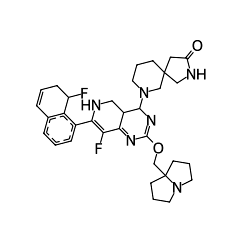 O=C1CC2(CCCN(C3N=C(OCC45CCCN4CCC5)N=C4C(F)=C(c5cccc6c5C(F)CC=C6)NCC43)C2)CN1